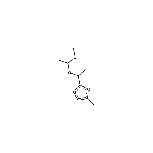 COC(C)OC(C)c1ccc(C)o1